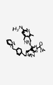 Cc1cc(N)nc(C)c1CNc1nc(C(=O)N(C)C)nc2nn(Cc3ccc(Cn4cccn4)cc3)cc12